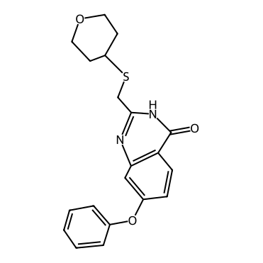 O=c1[nH]c(CSC2CCOCC2)nc2cc(Oc3ccccc3)ccc12